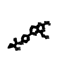 CCOc1nc(N)nc2ccc(-c3ccc(NC(=O)C4(O)CC4)cc3)nc12